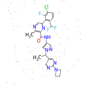 Cc1ncc(-c2c(C(F)F)ccc(Cl)c2F)nc1C(=O)Nc1cnn(C(C)c2cnc(N3CCC3)nc2)c1